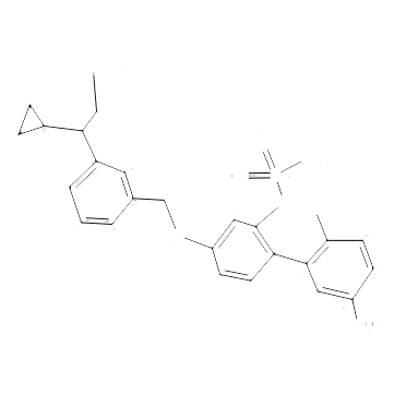 CCOC(=O)CC(c1cccc(COc2ccc(-c3cc(OC)ccc3F)c(OS(=O)(=O)C(F)(F)F)c2)c1)C1CC1